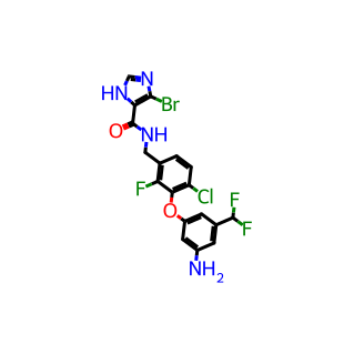 Nc1cc(Oc2c(Cl)ccc(CNC(=O)c3[nH]cnc3Br)c2F)cc(C(F)F)c1